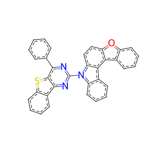 c1ccc(-c2nc(-n3c4ccccc4c4c5c(ccc43)oc3ccccc35)nc3c2sc2ccccc23)cc1